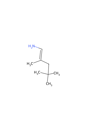 C/C(=C\N)CC(C)(C)C